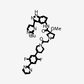 CO[C@@]1(C(=O)Nc2ccc3[nH]nc(-c4ccnc(C(C)(C)C)n4)c3c2)CCN(CC(=O)N2CC=C(c3cc(F)c(-c4ncccn4)cc3F)CC2)C1